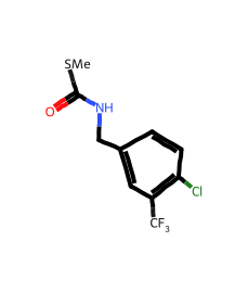 CSC(=O)NCc1ccc(Cl)c(C(F)(F)F)c1